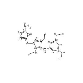 CCc1nn(Cc2nnc(N)o2)c(CC)c1Oc1cc(CI)cc(CI)c1